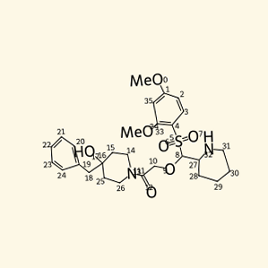 COc1ccc(S(=O)(=O)C(OCC(=O)N2CCC(O)(Cc3ccccc3)CC2)C2CCCCN2)c(OC)c1